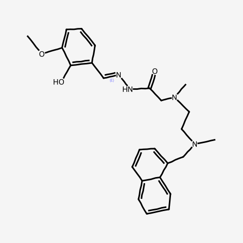 COc1cccc(/C=N/NC(=O)CN(C)CCN(C)Cc2cccc3ccccc23)c1O